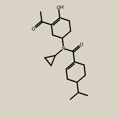 CC(=O)C1=C(O)CCC(N(C(=O)C2=CCC(C(C)C)CC2)C2CC2)C1